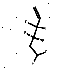 C=CC(F)(F)C(F)(F)CC(F)F